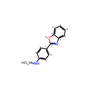 O=S(=O)(O)Nc1ccc(-c2nc3ccccc3o2)cc1